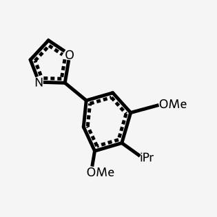 COc1cc(-c2ncco2)cc(OC)c1C(C)C